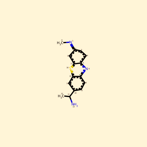 C/N=c1/ccc2nc3ccc(C(C)N)cc3sc-2c1